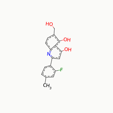 Cc1ccc(-c2cc(O)c3c(O)c(CO)ccc3n2)c(F)c1